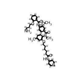 COc1cc(C(=O)N(C)c2ccc(C)cc2OCCCCCC(=O)Nc2ccncc2)ccc1NC(=O)c1ccccc1OCCCN